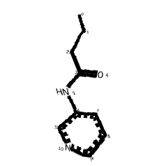 CCCC(=O)Nc1cccnc1